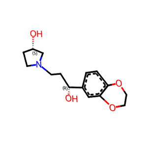 O[C@H]1CCN(CC[C@@H](O)c2ccc3c(c2)OCCO3)C1